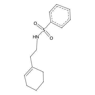 O=S(=O)(NCCC1=CCCCC1)c1ccccc1